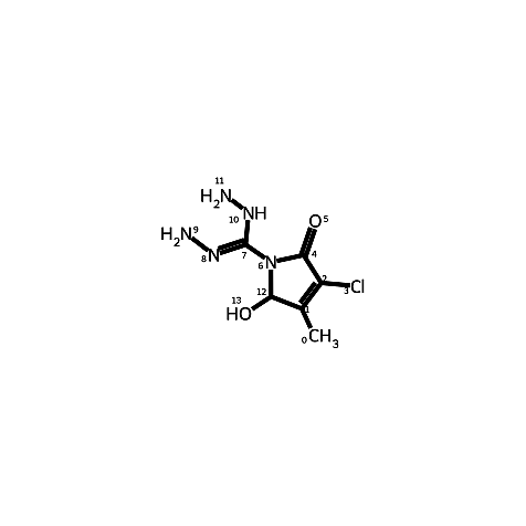 CC1=C(Cl)C(=O)N(/C(=N/N)NN)C1O